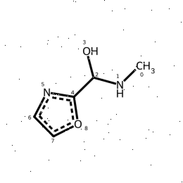 CNC(O)c1ncco1